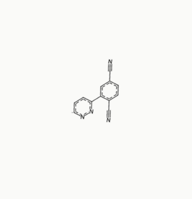 N#Cc1ccc(C#N)c(-c2cc[c]nn2)c1